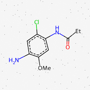 CCC(=O)Nc1cc(OC)c(N)cc1Cl